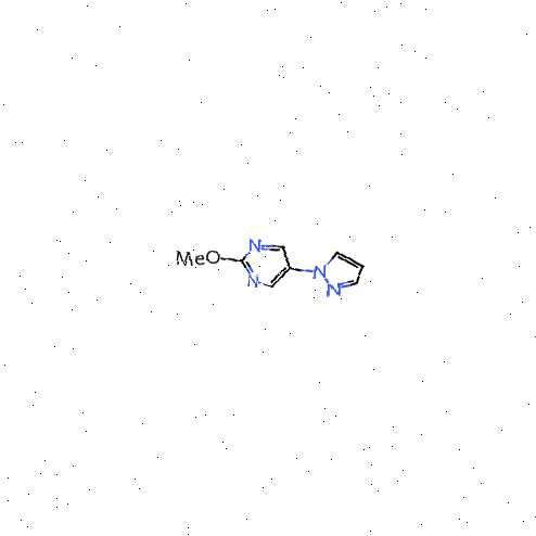 COc1ncc(-n2cccn2)cn1